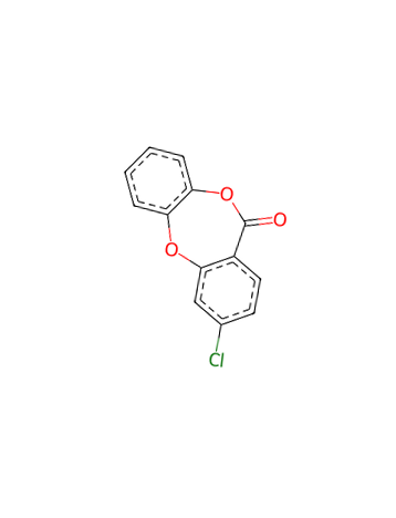 O=C1Oc2ccccc2Oc2cc(Cl)ccc21